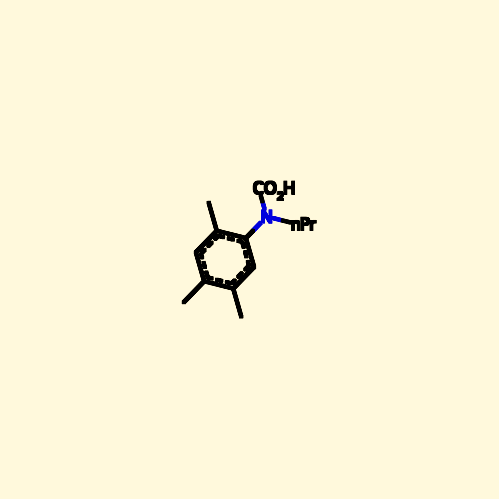 CCCN(C(=O)O)c1cc(C)c(C)cc1C